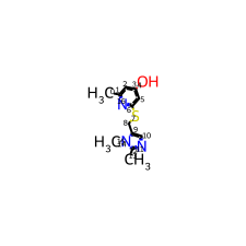 Cc1cc(O)cc(SCc2cnc(C)n2C)n1